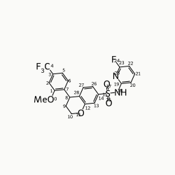 COc1cc(C(F)(F)F)ccc1C1CCOc2cc(S(=O)(=O)Nc3cccc(F)n3)ccc21